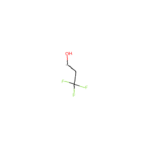 O[C]CC(F)(F)F